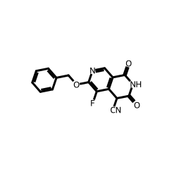 N#CC1C(=O)NC(=O)c2cnc(OCc3ccccc3)c(F)c21